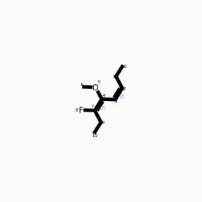 CC/C=C\C(OC)=C(\F)CC